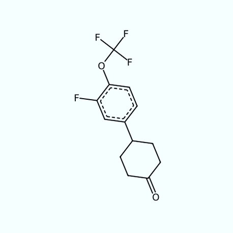 O=C1CCC(c2ccc(OC(F)(F)F)c(F)c2)CC1